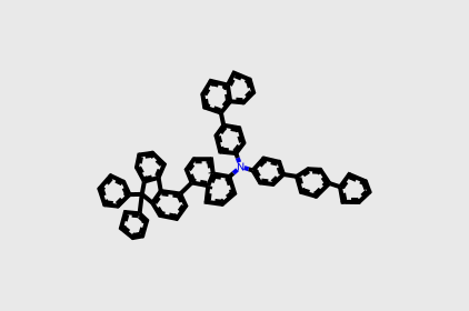 c1ccc(-c2ccc(-c3ccc(N(c4ccc(-c5cccc6ccccc56)cc4)c4cccc5c(-c6cccc7c6-c6ccccc6C7(c6ccccc6)c6ccccc6)cccc45)cc3)cc2)cc1